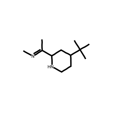 C/N=C(\C)C1CC(C(C)(C)C)CCN1